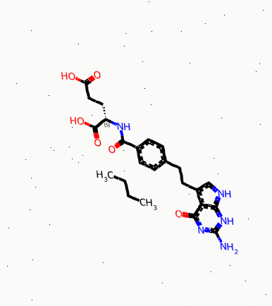 CCCC.Nc1nc(=O)c2c(CCc3ccc(C(=O)N[C@@H](CCC(=O)O)C(=O)O)cc3)c[nH]c2[nH]1